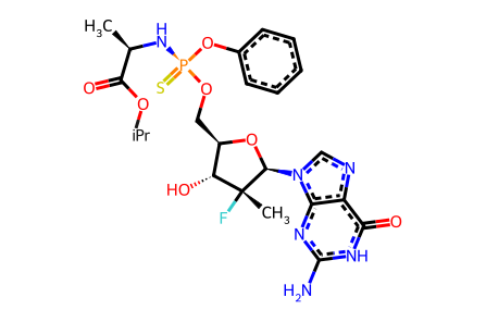 CC(C)OC(=O)[C@@H](C)N[P@](=S)(OC[C@H]1O[C@@H](n2cnc3c(=O)[nH]c(N)nc32)[C@](C)(F)[C@@H]1O)Oc1ccccc1